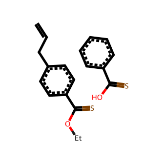 C=CCc1ccc(C(=S)OCC)cc1.OC(=S)c1ccccc1